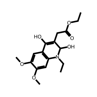 CCOC(=O)CC1=C(O)c2cc(OC)c(OC)cc2N(CC)C1O